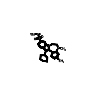 Cc1ccc2c(c1)N(C)CCn1c-2c(C2CCCCC2)c2ccc(S(=O)(=O)NC(C)(C)C)cc21